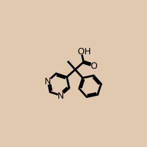 CC(C(=O)O)(c1ccccc1)c1cncnc1